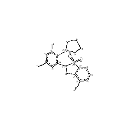 Cc1cc(C)c(N2CCCC2)c(N2Cc3c(F)cccc3S2(=O)=O)c1